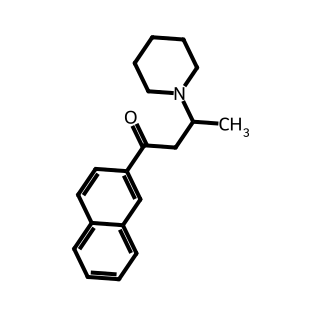 CC(CC(=O)c1ccc2ccccc2c1)N1CCCCC1